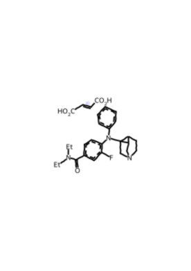 CCN(CC)C(=O)c1ccc(N(c2ccccc2)C2CN3CCC2CC3)c(F)c1.O=C(O)/C=C/C(=O)O